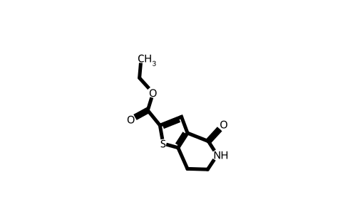 CCOC(=O)c1cc2c(s1)CCNC2=O